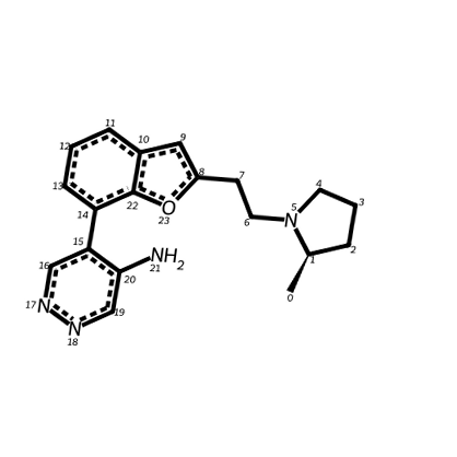 C[C@@H]1CCCN1CCc1cc2cccc(-c3cnncc3N)c2o1